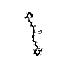 Cc1cccc[n+]1CCCCC#CC#CCCCC[n+]1ccccc1C.[Cl-].[Cl-]